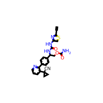 C#Cc1nc(NC(=O)NC(COC(N)=O)c2ccc(-c3ncccc3C3(C#N)CC3)cc2)cs1